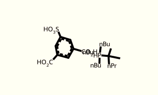 CCCC[PH](CCCC)(CCCC)C(C)(C)CCC.O=C(O)c1cc(C(=O)O)cc(S(=O)(=O)O)c1